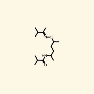 C/C(=N\OC(C)CCC(C)NC(=O)C(C)C)C(C)C